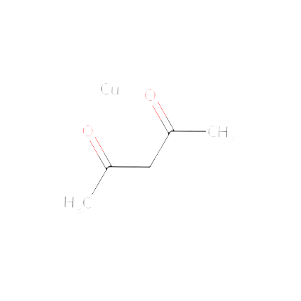 CC(=O)CC(C)=O.[Cu]